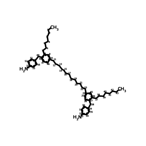 CCCCCCCCc1cc(CCCCCCCCCCCCCc2ccc(Cc3ccc(N)cc3)c(CCCCCCCC)c2)ccc1Cc1ccc(N)cc1